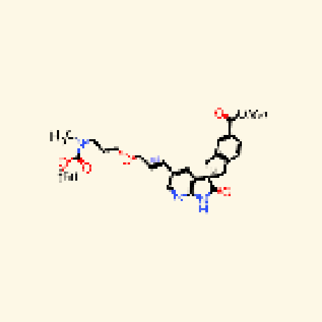 COC(=O)c1ccc2c(c1)C[C@]1(C2)C(=O)Nc2ncc(/C=C/COCCCN(C)C(=O)OC(C)(C)C)cc21